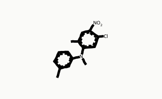 Cc1cccc(N(C)c2cc(Cl)c([N+](=O)[O-])cc2C)c1